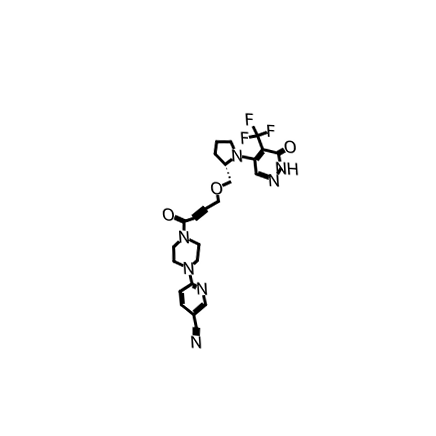 N#Cc1ccc(N2CCN(C(=O)C#CCOC[C@@H]3CCCN3c3cn[nH]c(=O)c3C(F)(F)F)CC2)nc1